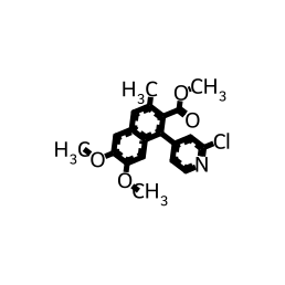 COC(=O)c1c(C)cc2cc(OC)c(OC)cc2c1-c1ccnc(Cl)c1